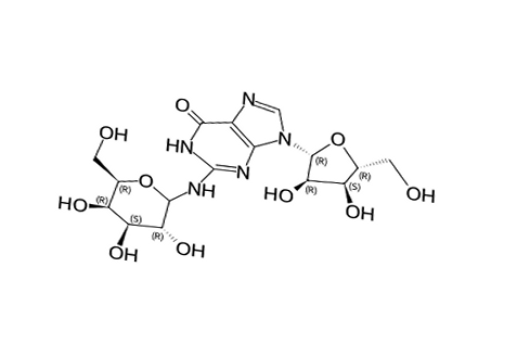 O=c1[nH]c(NC2O[C@H](CO)[C@H](O)[C@H](O)[C@H]2O)nc2c1ncn2[C@@H]1O[C@H](CO)[C@@H](O)[C@H]1O